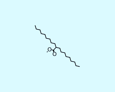 CCCCCCCCCC(CCCCCCCCC)C(=O)OC